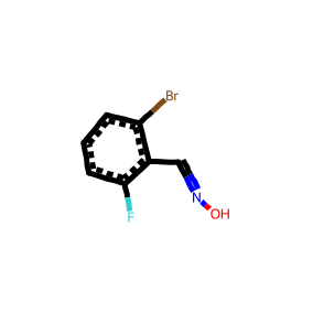 ON=Cc1c(F)cccc1Br